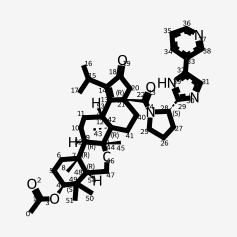 CC(=O)O[C@H]1CC[C@]2(C)[C@H]3CC[C@@H]4C5=C(C(C)C)C(=O)C[C@]5(C(=O)N5CCC[C@H]5c5ncc(-c6cccnc6)[nH]5)CC[C@@]4(C)[C@]3(C)CC[C@H]2C1(C)C